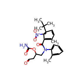 Cc1ccccc1N(CC(CC=O)OC(N)=O)C(=O)c1c(C)ccc(C(C)(C)C)c1[N+](=O)[O-]